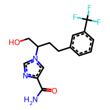 NC(=O)c1cn(C(CO)CCc2cccc(C(F)(F)F)c2)cn1